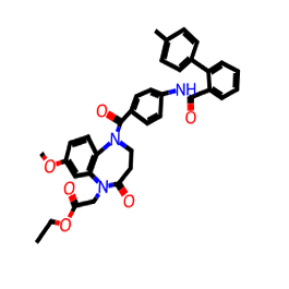 CCOC(=O)CN1C(=O)CCN(C(=O)c2ccc(NC(=O)c3ccccc3-c3ccc(C)cc3)cc2)c2ccc(OC)cc21